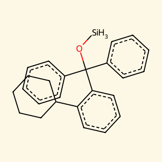 [SiH3]OC(c1ccccc1)(c1ccccc1)c1ccccc1C1CCCCC1